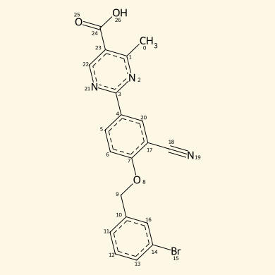 Cc1nc(-c2ccc(OCc3cccc(Br)c3)c(C#N)c2)ncc1C(=O)O